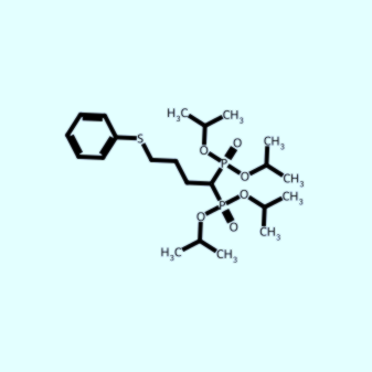 CC(C)OP(=O)(OC(C)C)C(CCCSc1ccccc1)P(=O)(OC(C)C)OC(C)C